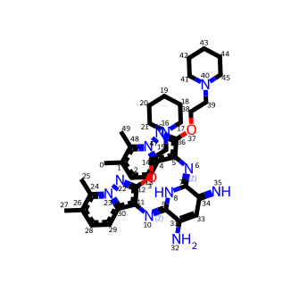 Cc1ccc2c(/N=C3\N/C(=N\c4c(OCCN5CCCCC5)nn5c(C)c(C)ccc45)C(N)=CC3=N)c(OCCN3CCCCC3)nn2c1C